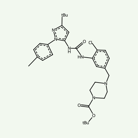 Cc1ccc(-n2nc(C(C)(C)C)cc2NC(=O)Nc2cc(CN3CCN(C(=O)OC(C)(C)C)CC3)ccc2Cl)cc1